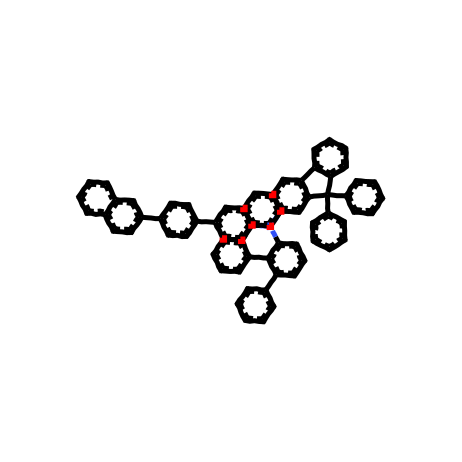 c1ccc(-c2ccccc2-c2c(-c3ccccc3)cccc2N(c2ccc(-c3ccc(-c4ccc5ccccc5c4)cc3)cc2)c2ccc3c(c2)C(c2ccccc2)(c2ccccc2)c2ccccc2-3)cc1